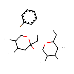 CC(=O)OCC1O[C@@H](OC2(COC(C)=O)CC(OC(C)=O)C(OC(C)=O)[C@H](Sc3ccccc3)O2)C(OC(C)=O)C(OC(C)=O)[C@H]1OC(C)=O